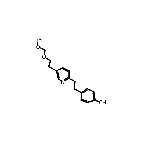 [CH2+][CH-]COCOCCc1ccc(CCc2ccc(C)cc2)nc1